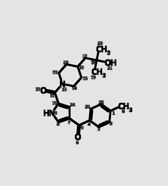 Cc1ccc(C(=O)c2c[nH]c(C(=O)N3CCC(CC(C)(C)O)CC3)c2)cc1